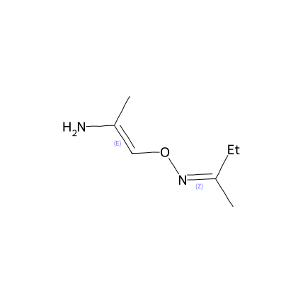 CC/C(C)=N\O/C=C(\C)N